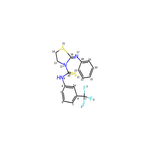 FC(F)(F)c1cccc(NC(=S)N2CCS/C2=N/c2ccccc2)c1